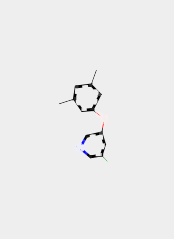 Cc1cc(C)cc(Oc2cncc(Cl)c2)c1